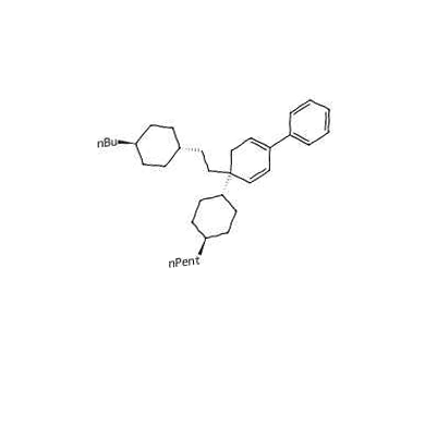 CCCCC[C@H]1CC[C@H](C2(CC[C@H]3CC[C@H](CCCC)CC3)C=CC(c3ccccc3)=CC2)CC1